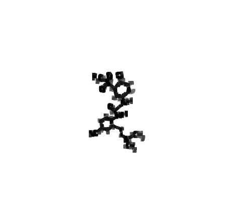 CN(C)CCc1cc(C#N)ccc1NC(=O)Nc1ccc(Cl)c(S(=O)(=O)C(F)(F)F)c1